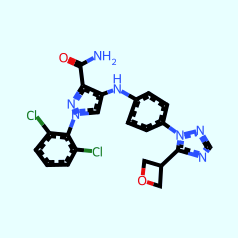 NC(=O)c1nn(-c2c(Cl)cccc2Cl)cc1Nc1ccc(-n2ncnc2C2COC2)cc1